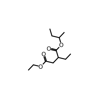 CCOC(=O)CC(CC)C(=O)OC(C)CC